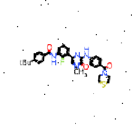 Cn1cc(-c2cccc(NC(=O)c3ccc(C(C)(C)C)cc3)c2F)nc(Nc2ccc(C(=O)N3CCSCC3)cc2)c1=O